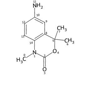 CN1C(=O)OC(C)(C)c2cc(N)ccc21